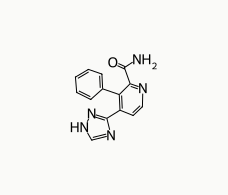 NC(=O)c1nccc(-c2nc[nH]n2)c1-c1ccccc1